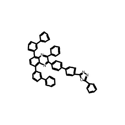 c1ccc(-c2cccc(-c3ccc(-c4cccc(-c5ccccc5)c4)c4nc(-c5ccc(-c6ccc(-c7nnc(-c8ccccc8)o7)cc6)cc5)c(-c5ccccc5)nc34)c2)cc1